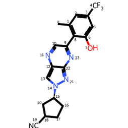 Cc1cc(C(F)(F)F)cc(O)c1-c1cnc2cn([C@H]3CCC(C#N)C3)nc2n1